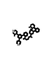 C=C(/C=C\C=C(/C)C1=CC2=c3ccccc3=C3C=CCC(C)C3C2(C)C=C1)c1ccccc1-c1cc(C2=CC=NCC2C)cc(-c2ccncc2)c1